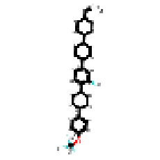 C=CC1CCC(C2CCC(c3ccc(C4CCC(c5ccc(OC(F)(F)F)cc5)CC4)c(F)c3)CC2)CC1